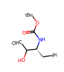 CC(C)C[C@@H](NC(=O)OC(C)(C)C)C(O)[C]=O